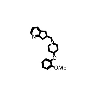 COc1ccccc1OC1CCN(CC2Cc3cccnc3C2)CC1